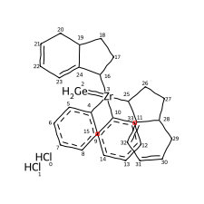 Cl.Cl.[GeH2]=[Zr]([c]1ccccc1)([c]1ccccc1)([CH]1CCC2CC=CC=C21)[CH]1CCC2CC=CC=C21